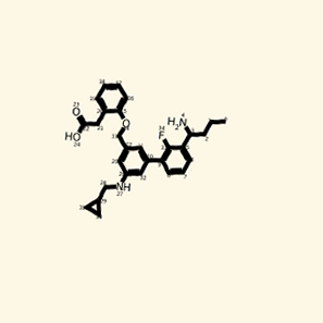 CCCC(N)c1cccc(-c2cc(COc3ccccc3CC(=O)O)cc(NCC3CC3)c2)c1F